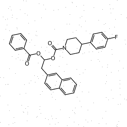 O=C(OC(Cc1ccc2ccccc2c1)OC(=O)N1CCC(c2ccc(F)cc2)CC1)c1ccccc1